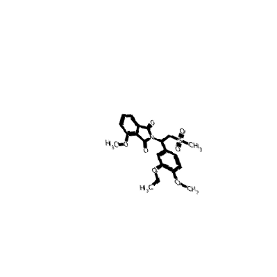 CCOc1cc(C(CS(C)(=O)=O)N2C(=O)c3cccc(OC)c3C2=O)ccc1OC